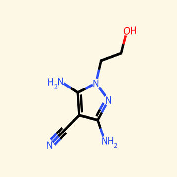 N#Cc1c(N)nn(CCO)c1N